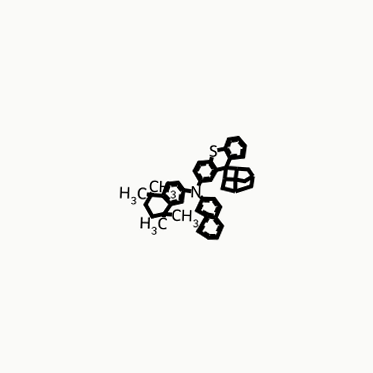 CC1(C)CCC(C)(C)c2cc(N(c3ccc4c(c3)C3(c5ccccc5S4)C4CC5CC6CC3C64C5)c3ccc4ccccc4c3)ccc21